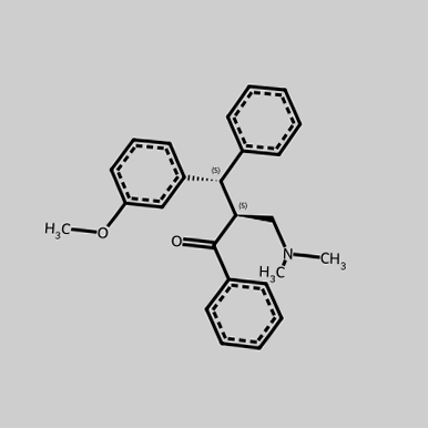 COc1cccc([C@H](c2ccccc2)[C@@H](CN(C)C)C(=O)c2ccccc2)c1